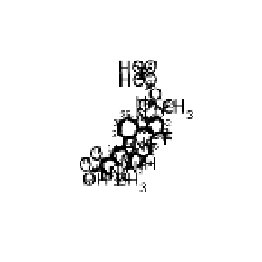 CN1C[C@H]2CCN(C3=C(c4cnc5c(c4)c(=O)c(C(=O)O)cn5C)C=CCc4[nH]c5c(N(C)C(=O)OCOP(=O)(O)O)cc(F)c(F)c5c43)[C@H]2C1